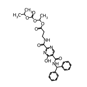 CC(C)OC(=O)OC(C)OC(=O)CCNC(=O)c1ncc(C(=O)NC(c2ccccc2)c2ccccc2)c(O)n1